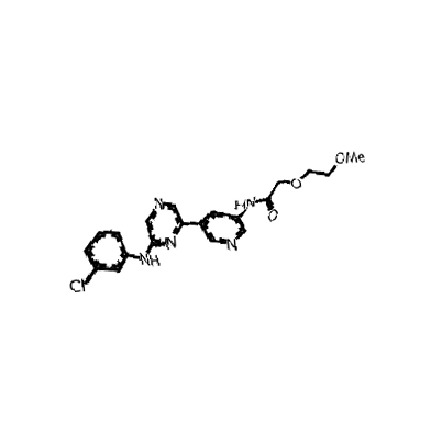 COCCOCC(=O)Nc1cncc(-c2cncc(Nc3cccc(Cl)c3)n2)c1